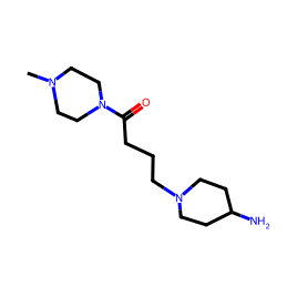 CN1CCN(C(=O)CCCN2CCC(N)CC2)CC1